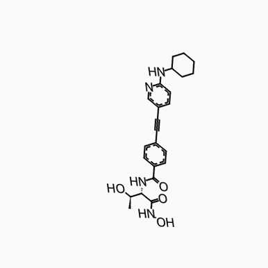 C[C@@H](O)[C@H](NC(=O)c1ccc(C#Cc2ccc(NC3CCCCC3)nc2)cc1)C(=O)NO